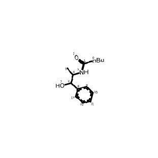 CCCCC(=O)NC(C)C(O)c1ccccc1